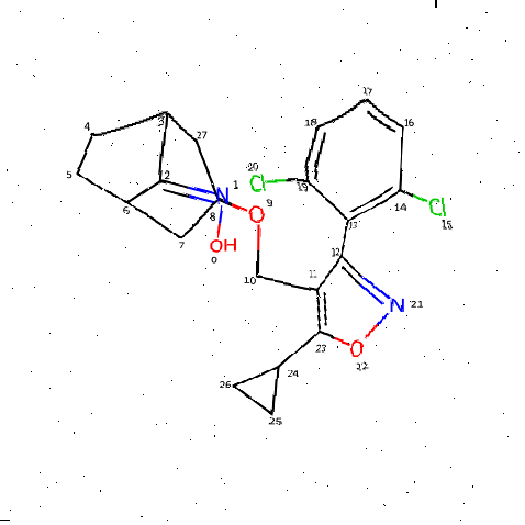 ON=C1C2CCC1CC(OCc1c(-c3c(Cl)cccc3Cl)noc1C1CC1)C2